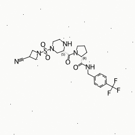 N#CC1CN(S(=O)(=O)N2CCN[C@H](C(=O)N3CCC[C@@H]3C(=O)NCc3ccc(C(F)(F)F)cc3)C2)C1